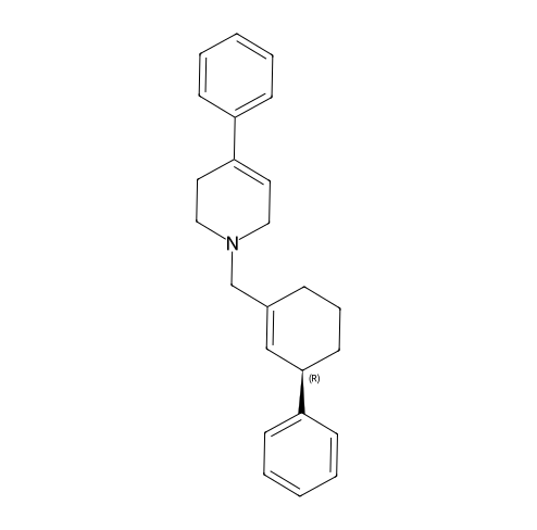 C1=C(CN2CC=C(c3ccccc3)CC2)CCC[C@H]1c1ccccc1